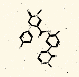 Cc1ccc(-c2ccnn(C)c2=O)cc1NC(=O)C1=CN(C)C(=O)C[C@H]1c1ccc(F)cc1